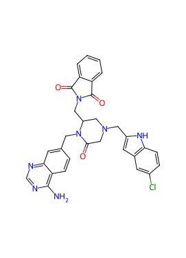 Nc1ncnc2cc(CN3C(=O)CN(Cc4cc5cc(Cl)ccc5[nH]4)CC3CN3C(=O)c4ccccc4C3=O)ccc12